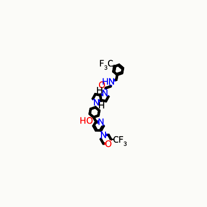 O=C(CNCc1cccc(C(F)(F)F)c1)N1CC[C@H]2[C@@H]1CCN2[C@H]1CC[C@](O)(c2ccc(N3CCO[C@H](C(F)(F)F)C3)cn2)CC1